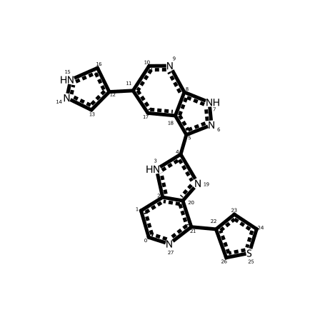 c1cc2[nH]c(-c3n[nH]c4ncc(-c5cn[nH]c5)cc34)nc2c(-c2ccsc2)n1